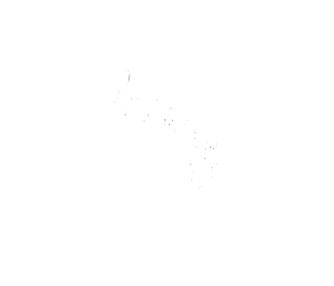 C=C/C=C(\C=C/C)c1cc[n+](-c2ccc(C(=O)c3ccccc3)cc2)cc1